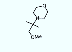 COCC(C)(C)N1CCOCC1